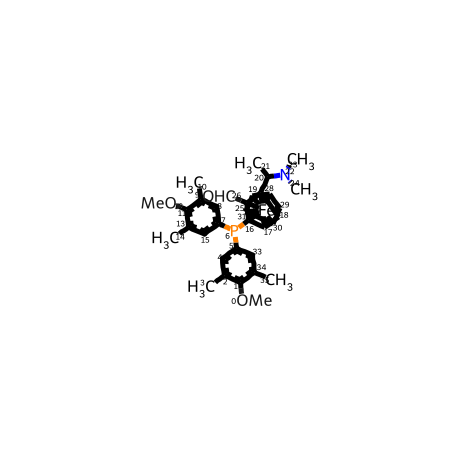 COc1c(C)cc(P(c2cc(C)c(OC)c(C)c2)[C]23[CH]4[CH]5[C]6(C(C)N(C)C)[C]2(C=O)[Fe]54632789[CH]3[CH]2[CH]7[CH]8[CH]39)cc1C